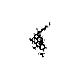 CC[C@@H]1C2C[C@H](OC(C)=O)CCC2(C)[C@H]2CCC3(C)C([C@H](C)CC/C=C/OC)CC[C@H]3[C@@H]2[C@@H]1OC(C)=O